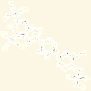 CS(=O)(=O)Nc1ccc(-c2ccc(-c3nc4c(C(F)(F)F)cc(C(F)(F)F)cc4[nH]3)cc2)cc1F